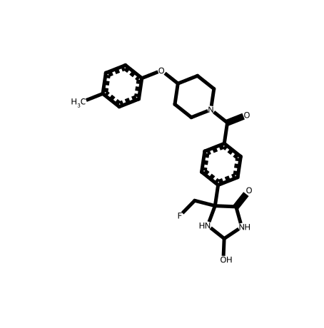 Cc1ccc(OC2CCN(C(=O)c3ccc(C4(CF)NC(O)NC4=O)cc3)CC2)cc1